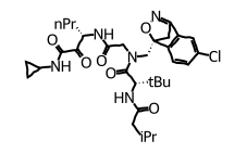 CCC[C@H](NC(=O)CN(C[C@@]12CC(=NO1)c1cc(Cl)ccc12)C(=O)[C@@H](NC(=O)CC(C)C)C(C)(C)C)C(=O)C(=O)NC1CC1